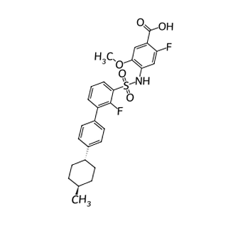 COc1cc(C(=O)O)c(F)cc1NS(=O)(=O)c1cccc(-c2ccc([C@H]3CC[C@H](C)CC3)cc2)c1F